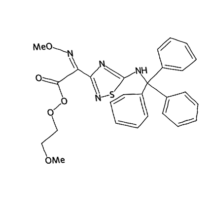 COCCOOC(=O)C(=NOC)c1nsc(NC(c2ccccc2)(c2ccccc2)c2ccccc2)n1